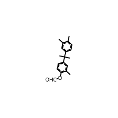 Cc1ccc(C(C)(C)c2ccc(OC=O)c(C)c2)cc1C